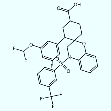 O=C(O)C1CCC2(CN(S(=O)(=O)c3cccc(C(F)(F)F)c3)c3ccccc3O2)C(c2cc(F)cc(OC(F)F)c2)C1